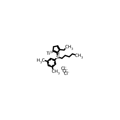 CCCCC[SiH](C1=[C]([Ti+3])CC=C1CC)c1cc(C)cc(C)c1.[Cl-].[Cl-].[Cl-]